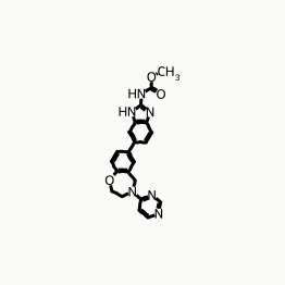 COC(=O)Nc1nc2ccc(-c3ccc4c(c3)CN(c3ccncn3)CCO4)cc2[nH]1